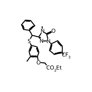 CCOC(=O)COc1ccc(SC(c2ccccc2)c2nn(-c3ccc(C(F)(F)F)cc3)c(=O)n2C)cc1C